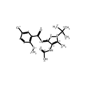 COc1ccc(Cl)cc1C(=O)/N=c1\sn(C(C)(C)C)c(C)c1NC(=O)O